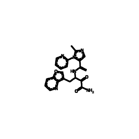 C=C(NC(Cc1coc2cccnc12)C(=O)C(N)=O)c1cnc(C)n1-c1ccccn1